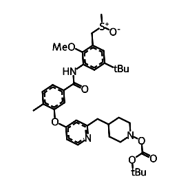 COc1c(C[S+](C)[O-])cc(C(C)(C)C)cc1NC(=O)c1ccc(C)c(Oc2ccnc(CC3CCN(OC(=O)OC(C)(C)C)CC3)c2)c1